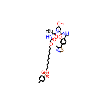 Cc1ccc(S(=O)(=O)OCCCCCCCCCCCOCC(=O)NC(C(=O)N2C[C@H](O)C[C@H]2C(=O)NC(C)c2ccc(-c3scnc3C)cc2)C(C)(C)C)cc1